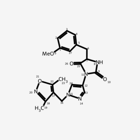 COc1cccc(CC2NC(=O)N(c3cnn(Cc4c(C)noc4C)c3)C2=O)c1